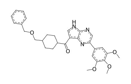 COc1cc(-c2cnc3[nH]cc(C(=O)C4CCC(COCc5ccccc5)CC4)c3n2)cc(OC)c1OC